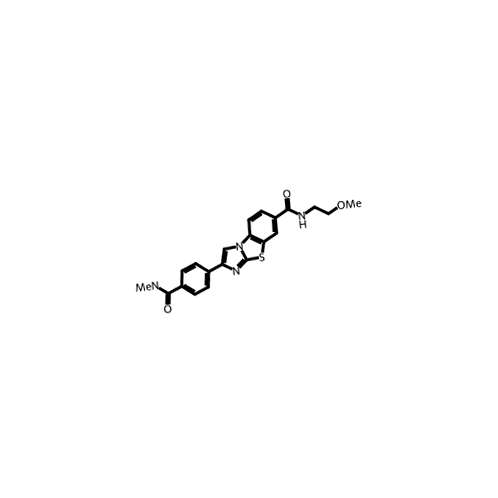 CNC(=O)c1ccc(-c2cn3c(n2)sc2cc(C(=O)NCCOC)ccc23)cc1